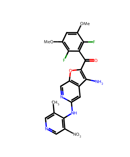 COc1cc(OC)c(F)c(C(=O)c2oc3cnc(Nc4c(C)cncc4[N+](=O)[O-])cc3c2N)c1F